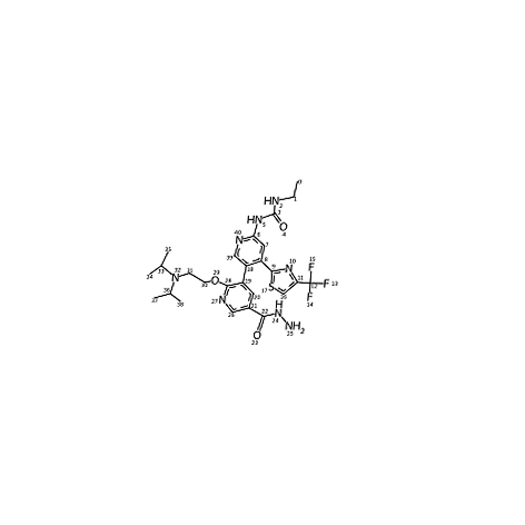 CCNC(=O)Nc1cc(-c2nc(C(F)(F)F)cs2)c(-c2cc(C(=O)NN)cnc2OCCN(C(C)C)C(C)C)cn1